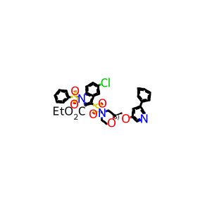 CCOC(=O)c1c(S(=O)(=O)N2CCO[C@H](COc3cncc(-c4ccccc4)c3)C2)c2cc(Cl)ccc2n1S(=O)(=O)c1ccccc1